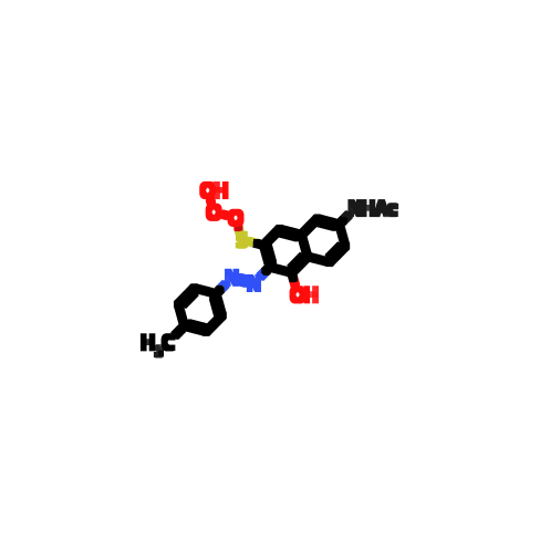 CC(=O)Nc1ccc2c(O)c(N=Nc3ccc(C)cc3)c(SOOO)cc2c1